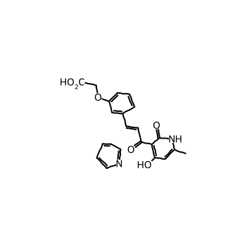 Cc1cc(O)c(C(=O)C=Cc2cccc(OCC(=O)O)c2)c(=O)[nH]1.c1ccncc1